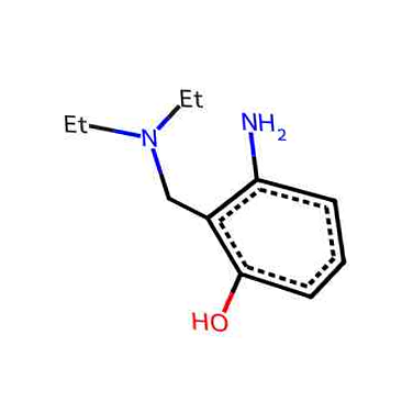 CCN(CC)Cc1c(N)cccc1O